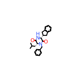 CC(C)C[C@@H]1C(=O)N[C@H](C2Cc3ccccc3C2)C(=O)N1Cc1ccccc1